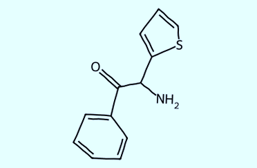 NC(C(=O)c1ccccc1)c1cccs1